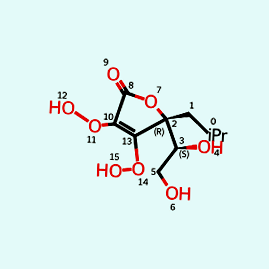 CC(C)C[C@]1([C@@H](O)CO)OC(=O)C(OO)=C1OO